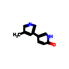 Cc1cncc(-c2ccc(=O)[nH]c2)c1